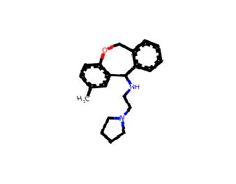 Cc1ccc2c(c1)C(NCCN1CCCC1)c1ccccc1CO2